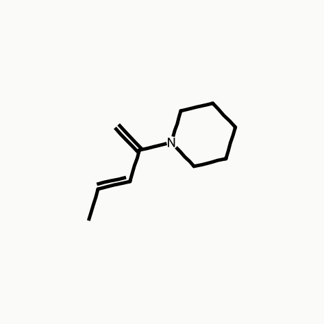 C=C(C=CC)N1CCCCC1